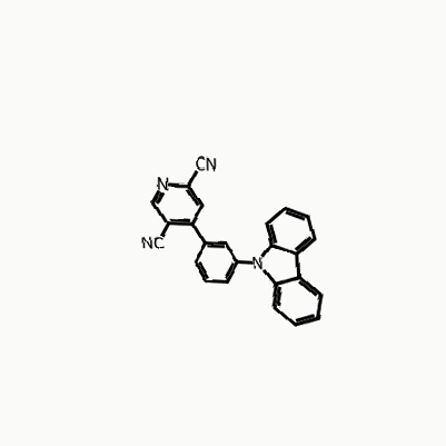 N#Cc1cc(-c2cccc(-n3c4ccccc4c4ccccc43)c2)c(C#N)cn1